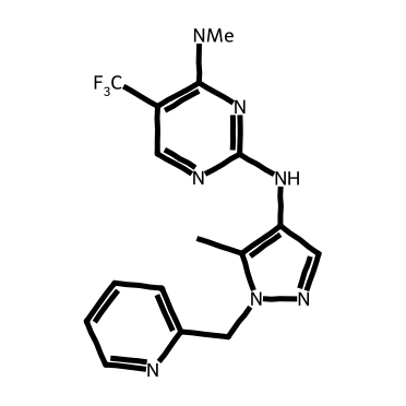 CNc1nc(Nc2cnn(Cc3ccccn3)c2C)ncc1C(F)(F)F